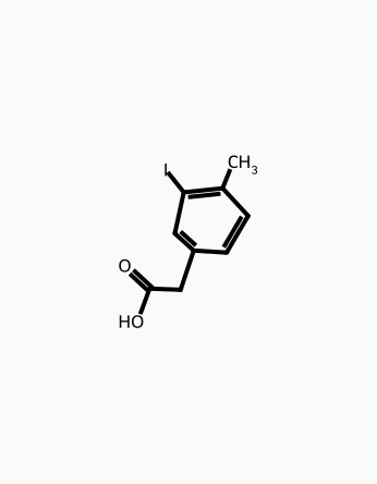 Cc1ccc(CC(=O)O)cc1I